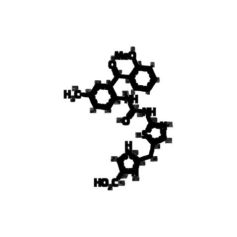 COc1ccccc1C(=O)c1cc(C)ccc1NC(=O)Nc1ncc(Cc2nc(C(=O)O)c[nH]2)s1